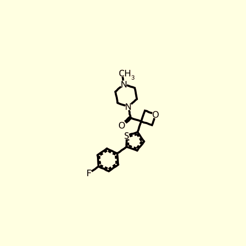 CN1CCN(C(=O)C2(c3ccc(-c4ccc(F)cc4)s3)COC2)CC1